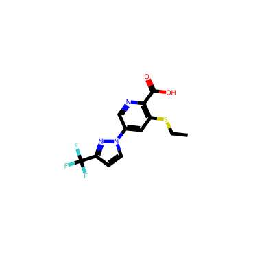 CCSc1cc(-n2ccc(C(F)(F)F)n2)cnc1C(=O)O